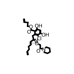 C=CCC/C=C/C(Cc1c(Cl)c(O)cc(O)c1C(=O)OCCC=C)=NOCC(=O)N1CCCCC1